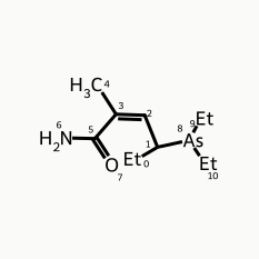 CCC(C=C(C)C(N)=O)[As](CC)CC